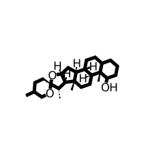 CC1CC[C@@]2(OC1)O[C@H]1C[C@H]3[C@@H]4CCC5CCCC(O)[C@]5(C)[C@H]4CC[C@]3(C)[C@H]1[C@@H]2C